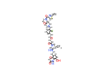 CC(C)c1nc(C(=O)N2CCOC3(CCN(Cc4cccc(CCOCCC(=O)N(CCNCCc5ccc(O)c6c5OCC(=O)N6)CCC(F)(F)F)c4F)CC3)C2)cs1